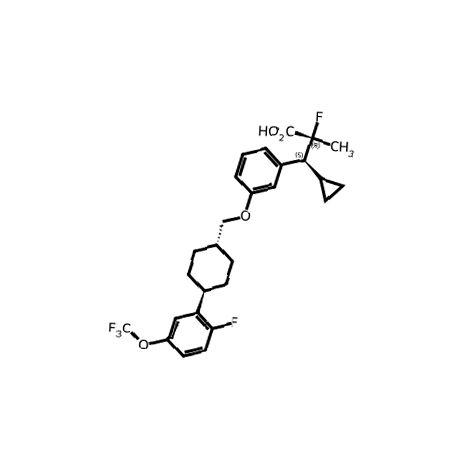 C[C@](F)(C(=O)O)[C@H](c1cccc(OC[C@H]2CC[C@H](c3cc(OC(F)(F)F)ccc3F)CC2)c1)C1CC1